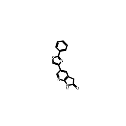 O=C1Cc2cc(-c3csc(-c4ccccc4)n3)cnc2N1